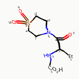 CCC(NC(=O)O)C(=O)N1CCS(=O)(=O)CC1